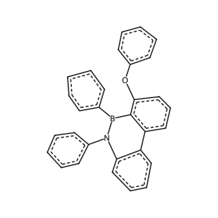 c1ccc(Oc2cccc3c2B(c2ccccc2)N(c2ccccc2)c2ccccc2-3)cc1